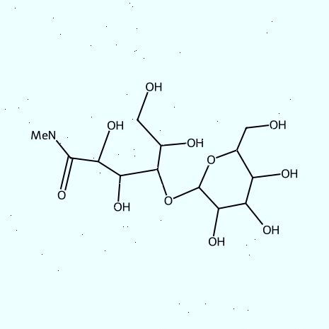 CNC(=O)C(O)C(O)C(OC1OC(CO)C(O)C(O)C1O)C(O)CO